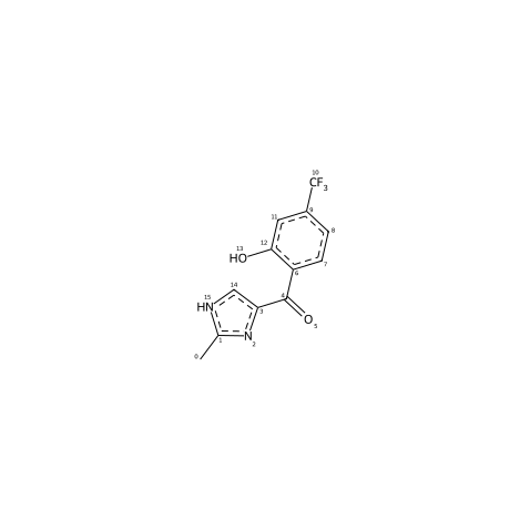 Cc1nc(C(=O)c2ccc(C(F)(F)F)cc2O)c[nH]1